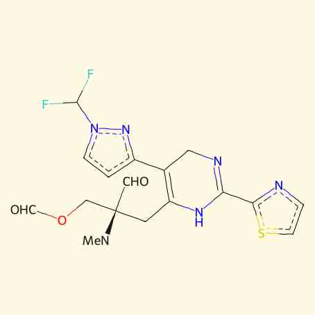 CN[C@](C=O)(COC=O)CC1=C(c2ccn(C(F)F)n2)CN=C(c2nccs2)N1